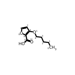 CCCCCOc1ccoc1C(=O)O